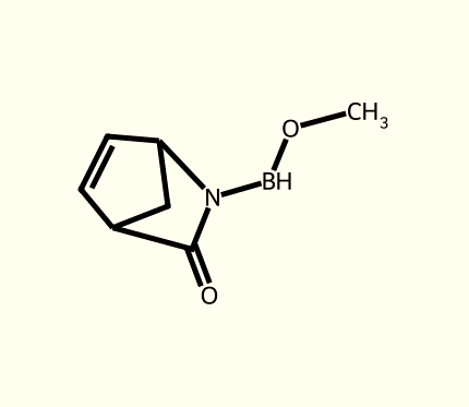 COBN1C(=O)C2C=CC1C2